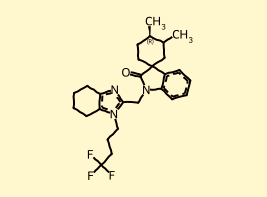 CC1CC2(CC[C@H]1C)C(=O)N(Cc1nc3c(n1CCCC(F)(F)F)CCCC3)c1ccccc12